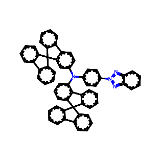 c1ccc2c(c1)-c1ccccc1C21c2ccccc2-c2ccc(N(c3ccc(-n4nc5ccccc5n4)cc3)c3cccc4c3-c3ccccc3C43c4ccccc4-c4ccccc43)cc21